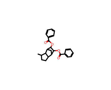 CC1CCC2C3CC(C(OC(=O)c4ccccc4)C3OC(=O)c3ccccc3)C12